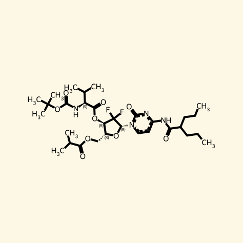 CCCC(CCC)C(=O)Nc1ccn([C@@H]2O[C@H](COC(=O)C(C)C)[C@@H](OC(=O)[C@@H](NC(=O)OC(C)(C)C)C(C)C)C2(F)F)c(=O)n1